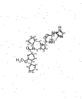 COc1cc(C(=O)N2Cc3ccc(C(=O)N[C@@H](Cc4c[nH]cn4)C(N)=O)n3Cc3ccccc32)ccc1-c1ccccc1